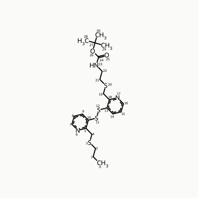 CCCSCc1ncccc1SSc1cccnc1CSCCNC(=O)OC(C)(C)C